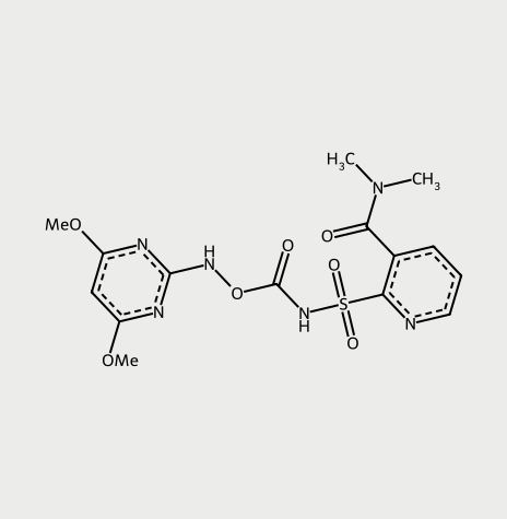 COc1cc(OC)nc(NOC(=O)NS(=O)(=O)c2ncccc2C(=O)N(C)C)n1